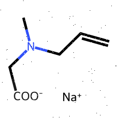 C=CCN(C)CC(=O)[O-].[Na+]